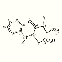 C[C@H](CS)C(=O)N(CC(=O)O)N(C)c1ccccc1